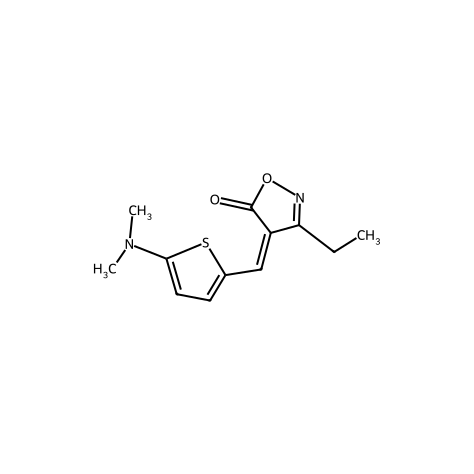 CCC1=NOC(=O)/C1=C\c1ccc(N(C)C)s1